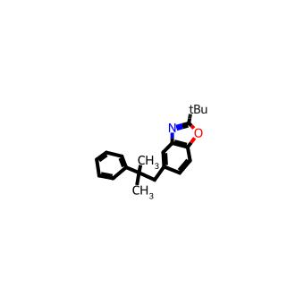 CC(C)(C)c1nc2cc(CC(C)(C)c3ccccc3)ccc2o1